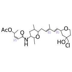 CC(=O)OC(C)/C=C\C(=O)NC1CC(C)C(C/C=C(C)/C=C/C2CC(O)(CCl)CCO2)OC1C